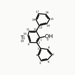 Oc1c(-c2ccccc2)cccc1-c1ccccc1.[Ti]